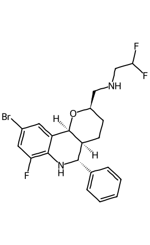 Fc1cc(Br)cc2c1N[C@@H](c1ccccc1)[C@@H]1CC[C@H](CNCC(F)F)O[C@H]21